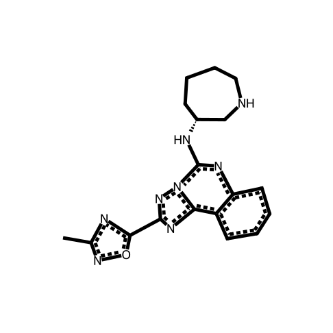 Cc1noc(-c2nc3c4ccccc4nc(N[C@@H]4CCCCNC4)n3n2)n1